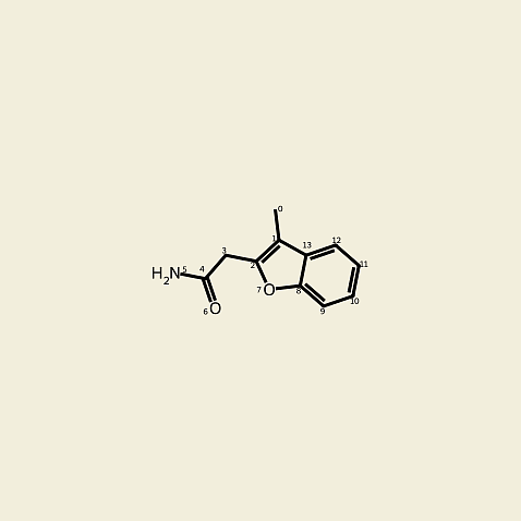 Cc1c(CC(N)=O)oc2ccccc12